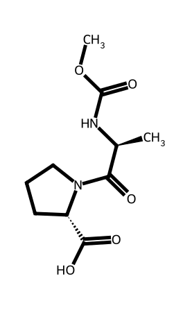 COC(=O)N[C@@H](C)C(=O)N1CCC[C@H]1C(=O)O